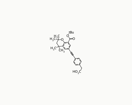 CC(C)(C)OC(=O)c1cc(C#Cc2ccc(CC(=O)O)cc2)cc2c1OC(C)(C)CC2(C)C